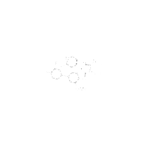 COc1cc(-c2ccc(F)cc2)cc(C2(c3ccnc(CF)c3)N=C(N)N(C)C2=O)c1